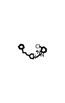 Cn1c(CN2CCC(CCCc3ccccc3)CC2)nc2cccc(Cl)c21